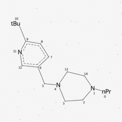 CCCN1CCN(Cc2ccc(C(C)(C)C)nc2)CC1